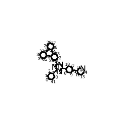 c1ccc(-c2nc(-c3ccc(-c4cccnc4)cc3)nc(-c3ccc4c5ccccc5c5ccccc5c4c3)n2)cc1